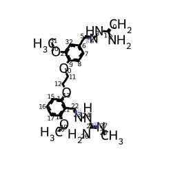 C=C(N)N/N=C/c1ccc(OCCOc2cccc(OC)c2/C=N/N/C(N)=N/C)c(OC)c1